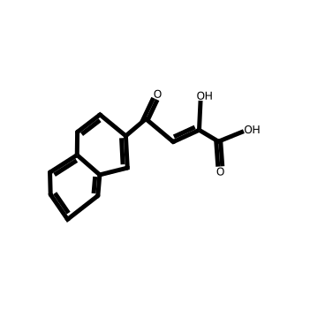 O=C(O)/C(O)=C/C(=O)c1ccc2ccccc2c1